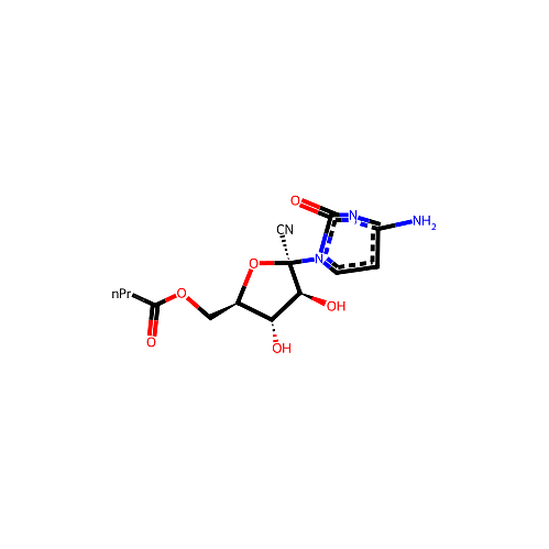 CCCC(=O)OC[C@H]1O[C@@](C#N)(n2ccc(N)nc2=O)[C@@H](O)[C@@H]1O